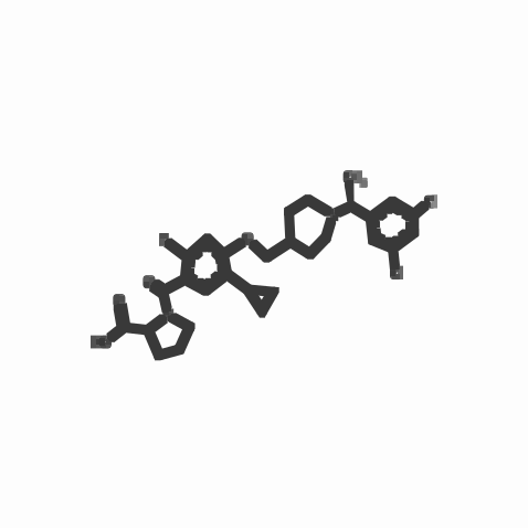 C[C@@H](c1cc(Cl)cc(Cl)c1)N1CCC(COc2cc(F)c(C(=O)N3CCCC3C(=O)O)cc2C2CC2)CC1